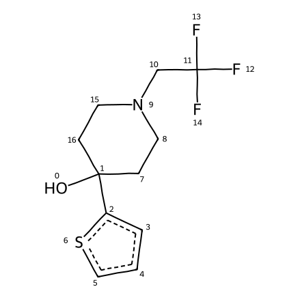 OC1(c2cccs2)CCN(CC(F)(F)F)CC1